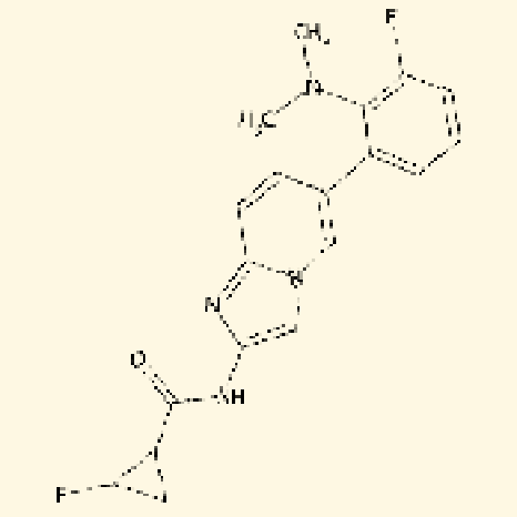 CN(C)c1c(F)cccc1-c1ccc2nc(NC(=O)C3CC3F)cn2c1